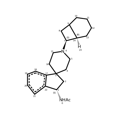 CC(=O)N[C@H]1CC2(CCN([C@H]3CC4CCCC[C@H]43)CC2)c2ccccc21